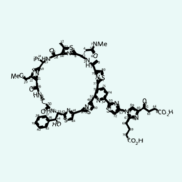 C=C1N[C@@H](CC(=O)NC)c2nc(c(C)s2)C(=O)NC(C(C)C)c2nc(c(COC)s2)C(=O)NCC(=O)N[C@@H]([C@@H](O)c2ccccc2)c2nc(cs2)-c2nc(cs2)-c2nc(-c3nc(-n4cc(C(=O)CCC(=O)O)nc4CCCC(=O)O)cs3)ccc2-c2nc1cs2